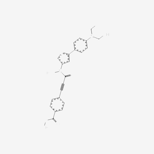 CCN(CC)c1ccc(-c2cc(N(C)C(=O)C#Cc3ccc(C(=O)OC)cc3)cs2)cc1